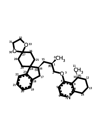 C[C@@H](COc1ccnc2c1[C@H](C)CCC2)C[C@H]1Cc2ccccc2C12CCC1(CC2)OCCO1